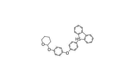 c1ccc2c(c1)-c1ccccc1[SH]2c1ccc(Oc2ccc(OC3CCCCO3)cc2)cc1